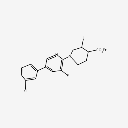 CCOC(=O)C1CCN(c2ncc(-c3cccc(Cl)c3)cc2F)CC1F